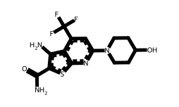 NC(=O)c1sc2nc(N3CCC(O)CC3)cc(C(F)(F)F)c2c1N